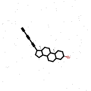 C#CC#CC#CC1CCC2C3CCC4C[C@H](Br)CC[C@]4(C)C3CC[C@]12C